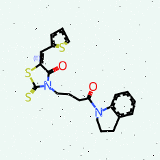 O=C1/C(=C\c2cccs2)SC(=S)N1CCCC(=O)N1CCCc2ccccc21